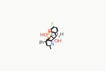 Cc1cccc(C(O)(Cc2ccc(F)cc2)C(C#CC(C)C)(C(=O)O)[PH](=O)O)n1